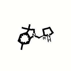 Cc1ccc2c(c1)N(C[C@H]1CCCN1)CC2(C)C